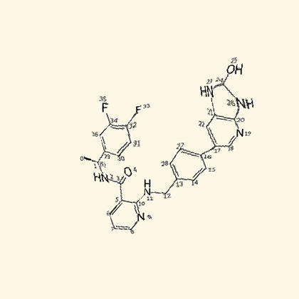 C[C@H](NC(=O)c1cccnc1NCc1ccc(-c2cnc3c(c2)NC(O)N3)cc1)c1ccc(F)c(F)c1